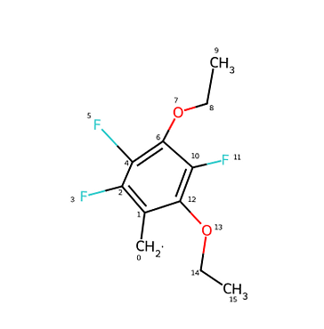 [CH2]c1c(F)c(F)c(OCC)c(F)c1OCC